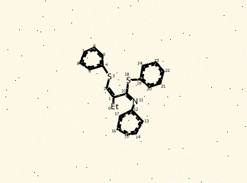 CCC(=CSc1ccccc1)C(=Nc1ccccc1)Sc1ccccc1